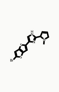 CN1CC=CC1c1nc(-c2cc3sc(Br)cc3s2)c[nH]1